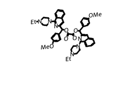 CCN1CCN(c2nc(C(OC(=O)C(=O)OC(c3ccc(OC)cc3)c3cc4ccccc4c(N4CCN(CC)CC4)n3)c3ccc(OC)cc3)cc3ccccc23)CC1